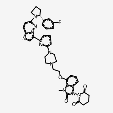 Cn1c(=O)n(N2C(=O)CCCC2=O)c2cccc(OCCN3CCN(c4cccc(-c5cnc6ccc(N7CCC[C@@H]7c7cccc(F)c7)nn56)n4)CC3)c21